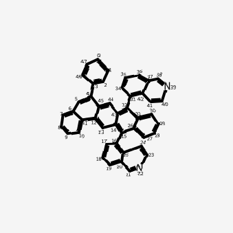 c1ccc(-c2cc3ccccc3c3cc4c(-c5cccc6cnccc56)c5ccccc5c(-c5cccc6cnccc56)c4cc23)cc1